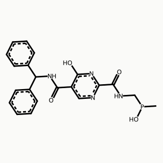 CP(O)CNC(=O)c1ncc(C(=O)NC(c2ccccc2)c2ccccc2)c(O)n1